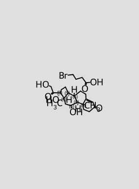 C[C@]12CCC(=O)C=C1CC[C@@H]1[C@@H]2[C@@H](O)C[C@@]2(C)[C@H]1CC[C@]2(O)C(=O)CO.O=C(O)CCCBr